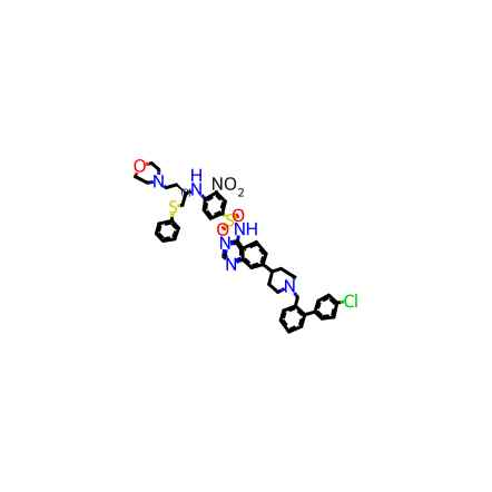 O=[N+]([O-])c1cc(S(=O)(=O)Nc2ncnc3cc(C4CCN(Cc5ccccc5-c5ccc(Cl)cc5)CC4)ccc23)ccc1N[C@H](CCN1CCOCC1)CSc1ccccc1